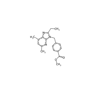 CCc1nc2c(C)cc(C)nc2n1Cc1ccc(C(=O)OC)cc1